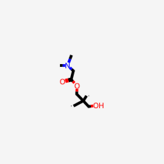 [CH2]C([CH2])(CO)COC(=O)CN(C)C